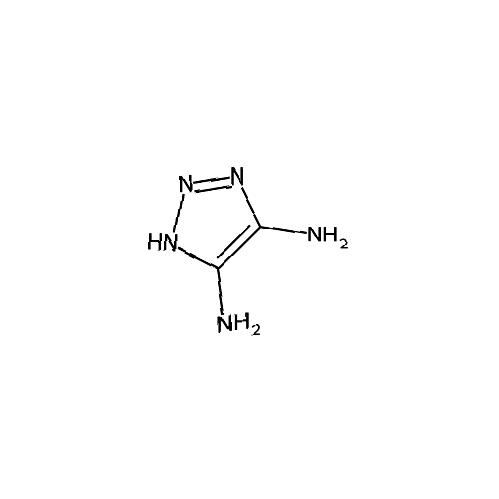 Nc1nn[nH]c1N